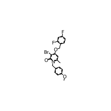 COc1ccc(Cn2c(C)cc(OCc3ccc(F)cc3F)c(Br)c2=O)cc1